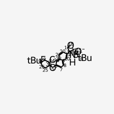 CC(C)(C)C1CCC(Oc2ccc3cc(C4(N[S+]([O-])C(C)(C)C)COC4)ccc3c2C(F)(F)F)CC1